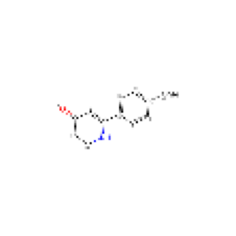 COc1ccc(C2=CC(=O)CCN2)cc1